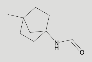 CC12CCC(NC=O)(CC1)C2